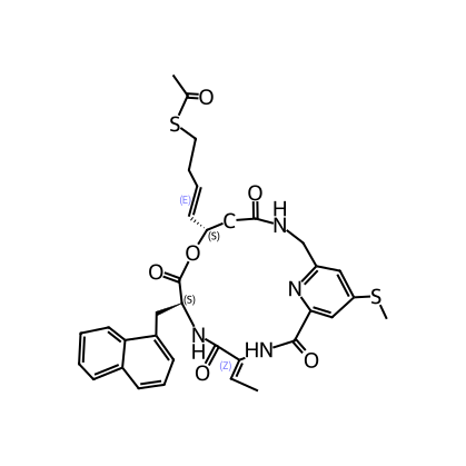 C/C=C1\NC(=O)c2cc(SC)cc(n2)CNC(=O)C[C@@H](/C=C/CCSC(C)=O)OC(=O)[C@H](Cc2cccc3ccccc23)NC1=O